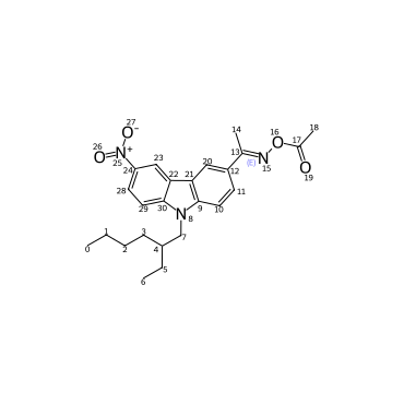 CCCCC(CC)Cn1c2ccc(/C(C)=N/OC(C)=O)cc2c2cc([N+](=O)[O-])ccc21